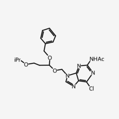 CC(=O)Nc1nc(Cl)c2ncn(COC(CCOC(C)C)OCc3ccccc3)c2n1